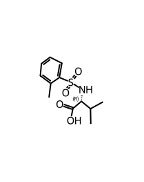 Cc1ccccc1S(=O)(=O)N[C@@H](C(=O)O)C(C)C